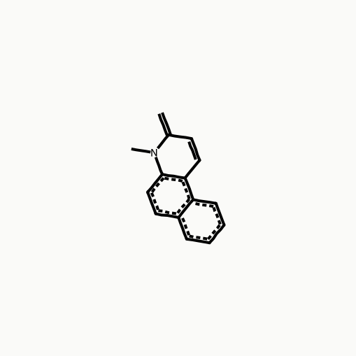 C=C1C=Cc2c(ccc3ccccc23)N1C